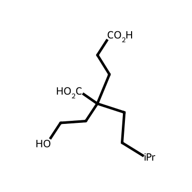 CC(C)CCC(CCO)(CCC(=O)O)C(=O)O